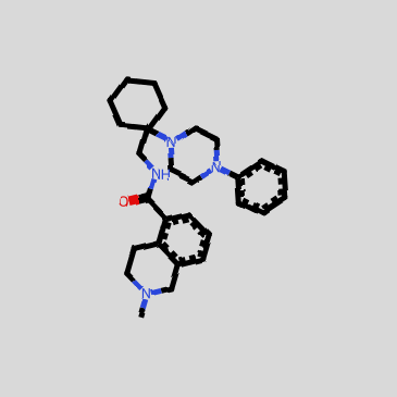 CN1CCc2c(cccc2C(=O)NCC2(N3CCN(c4ccccc4)CC3)CCCCC2)C1